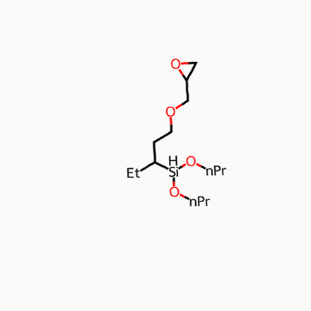 CCCO[SiH](OCCC)C(CC)CCOCC1CO1